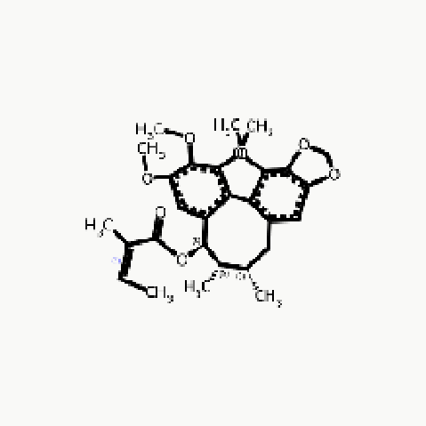 C/C=C(/C)C(=O)O[C@H]1c2cc(OC)c(OC)c(OC)c2-c2c(cc3c(c2OC)OCO3)C[C@H](C)[C@@H]1C